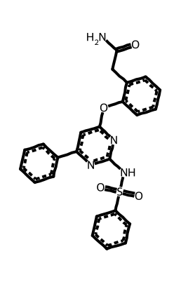 NC(=O)Cc1ccccc1Oc1cc(-c2ccccc2)nc(NS(=O)(=O)c2ccccc2)n1